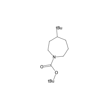 CC(C)(C)OC(=O)N1CCCC(C(C)(C)C)CC1